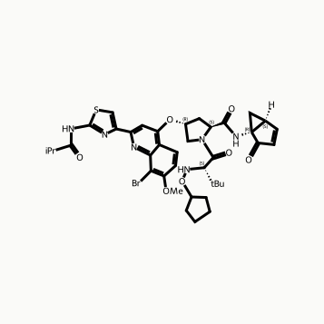 COc1ccc2c(O[C@@H]3C[C@@H](C(=O)N[C@]45C[C@H]4C=CC5=O)N(C(=O)[C@@H](NOC4CCCC4)C(C)(C)C)C3)cc(-c3csc(NC(=O)C(C)C)n3)nc2c1Br